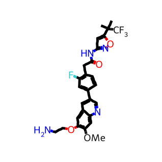 COc1cc2ncc(-c3ccc(CC(=O)Nc4cc(C(C)(C)C(F)(F)F)on4)c(F)c3)cc2cc1OCCN